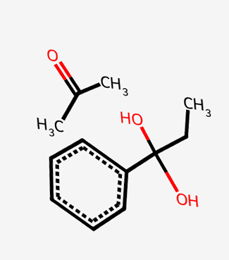 CC(C)=O.CCC(O)(O)c1ccccc1